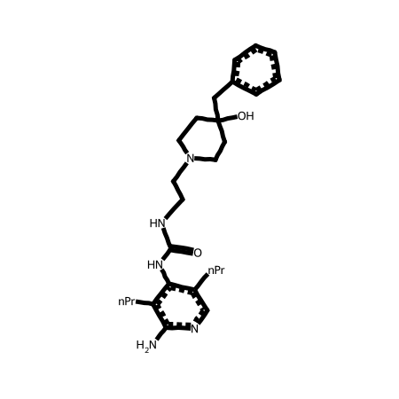 CCCc1cnc(N)c(CCC)c1NC(=O)NCCN1CCC(O)(Cc2ccccc2)CC1